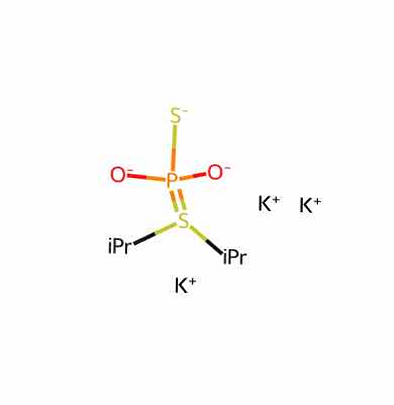 CC(C)S(C(C)C)=P([O-])([O-])[S-].[K+].[K+].[K+]